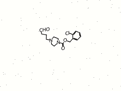 O=CCCCN1CCN(C(=O)OCc2ccccc2Cl)CC1